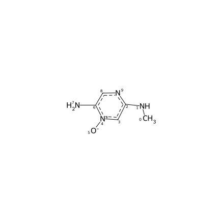 CNc1c[n+]([O-])c(N)cn1